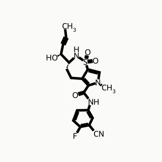 CC#C[C@@H](O)[C@H]1CCc2c(cn(C)c2C(=O)Nc2ccc(F)c(C#N)c2)S(=O)(=O)N1